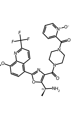 COc1ccc(-c2nc(C(=O)N3CCN(C(=O)c4cccc[n+]4[O-])CC3)c([C@H](C)N)o2)c2ccc(C(F)(F)F)nc12